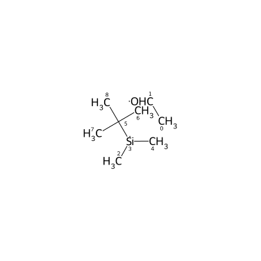 C[C]=O.C[Si](C)C(C)(C)C